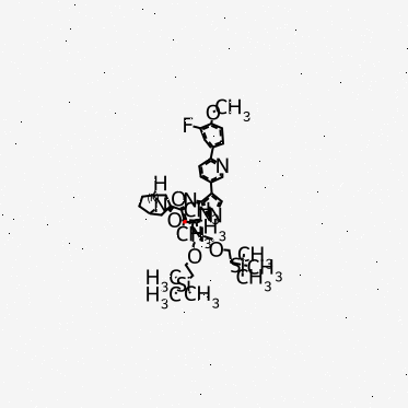 COc1ccc(-c2ccc(-c3cnn4c(N(COCC[Si](C)(C)C)COCC[Si](C)(C)C)cc(C5CC6CC[C@H](C5)N6C(=O)OC(C)(C)C)nc34)cn2)cc1F